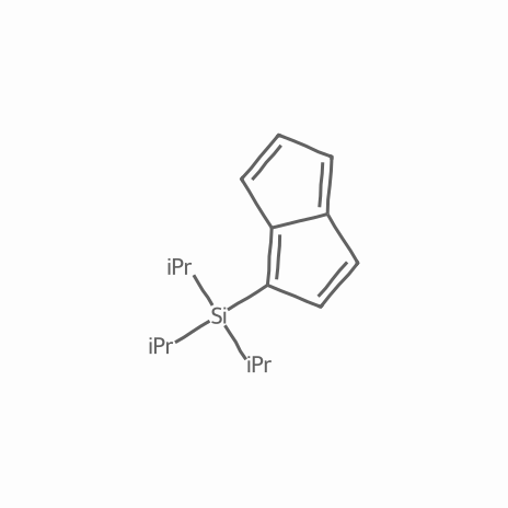 CC(C)[Si](C1=C2C=CC=C2C=C1)(C(C)C)C(C)C